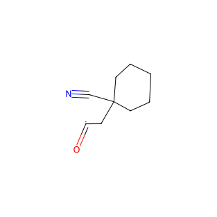 N#CC1(C[C]=O)CCCCC1